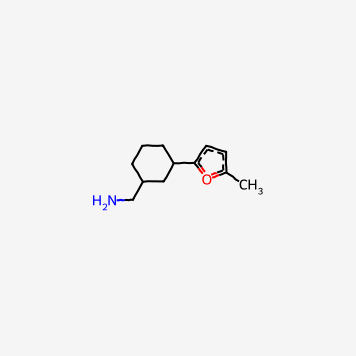 Cc1ccc(C2CCCC(CN)C2)o1